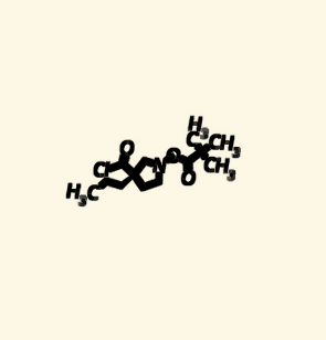 CCC[C@]1(C(=O)Cl)CCN(OC(=O)C(C)(C)C)C1